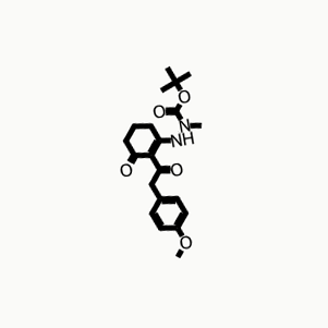 COc1ccc(CC(=O)C2=C(NN(C)C(=O)OC(C)(C)C)CCCC2=O)cc1